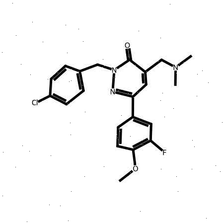 COc1ccc(-c2cc(CN(C)C)c(=O)n(Cc3ccc(Cl)cc3)n2)cc1F